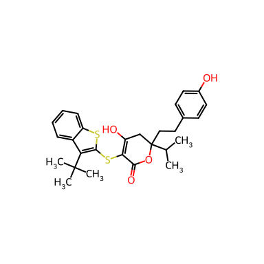 CC(C)C1(CCc2ccc(O)cc2)CC(O)=C(Sc2sc3ccccc3c2C(C)(C)C)C(=O)O1